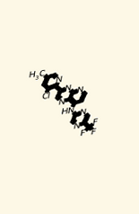 Cc1cnc(-c2cnc3c(Nc4cnc(C(F)(F)F)cn4)ccnc3n2)c(Cl)c1